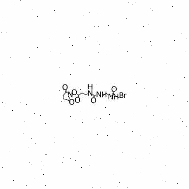 O=C(CBr)NCCNC(=O)NCCC(=O)ON1C(=O)CCC1=O